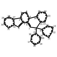 C1=c2c(ccc3c2=CC(c2ccccc2)(c2ccccc2)c2ccccc2-3)-c2ccccc21